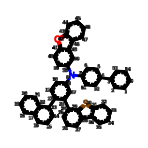 c1ccc(-c2ccc(N(c3ccc(-c4cccc5ccccc45)c(-c4cccc5c4sc4ccccc45)c3)c3ccc4oc5ccccc5c4c3)cc2)cc1